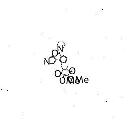 COC1=C(OC)C(=O)C(Cc2cccc(C(=O)N3CCCCC3)c2-c2ccncc2)=C(C)C1=O